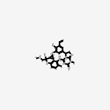 C=Cc1cc(C2CN=C3N(C)C(=O)N=C(Nc4cc(OC(F)(COC)C5CC5)ccc4C)N32)cc(F)c1F